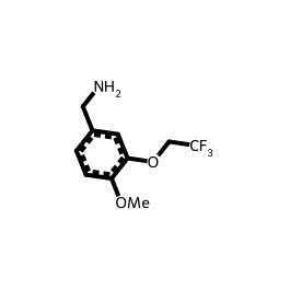 COc1ccc(CN)cc1OCC(F)(F)F